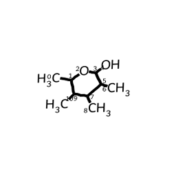 CC1OC(O)C(C)C(C)C1C